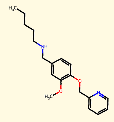 CCCCCNCc1ccc(OCc2ccccn2)c(OC)c1